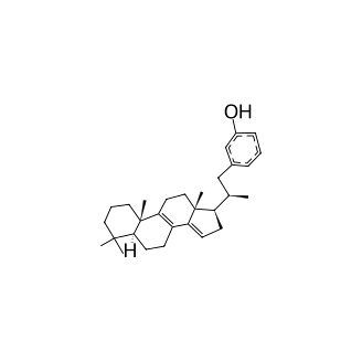 C[C@H](Cc1cccc(O)c1)[C@H]1CC=C2C3=C(CC[C@@]21C)[C@@]1(C)CCCC(C)(C)[C@@H]1CC3